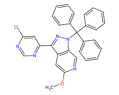 COc1cc2c(-c3cc(Cl)ncn3)nn(C(c3ccccc3)(c3ccccc3)c3ccccc3)c2cn1